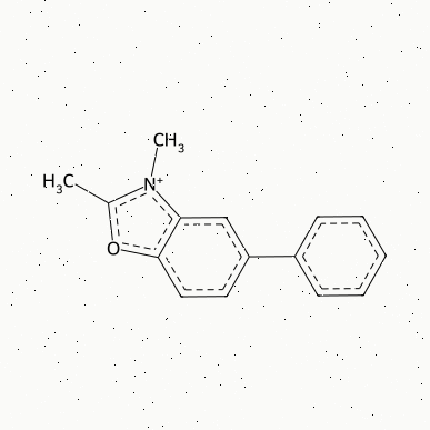 Cc1oc2ccc(-c3ccccc3)cc2[n+]1C